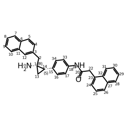 N[C@@]1(Cc2ccc3ccccc3c2)C[C@H]1c1ccc(NC(=O)Cc2cccc3ccccc23)cc1